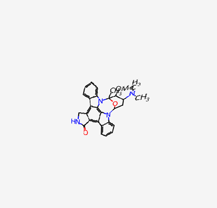 COC1C(N(C)C)CC2OC1(C)n1c3ccccc3c3c4c(c5c6ccccc6n2c5c31)C(=O)NC4